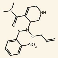 C=CCON(Sc1ccccc1[N+](=O)[O-])C1CNCC=C1C(=O)N(C)C